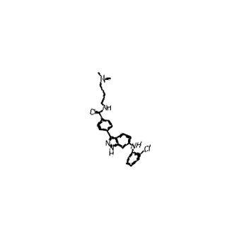 CN(C)CCCNC(=O)c1ccc(-c2n[nH]c3cc(Nc4ccccc4Cl)ccc23)cc1